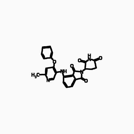 Cc1cc(Oc2ccccc2)c(Nc2cccc3c2C(=O)N(C2CCC(=O)NC2=O)C3=O)cn1